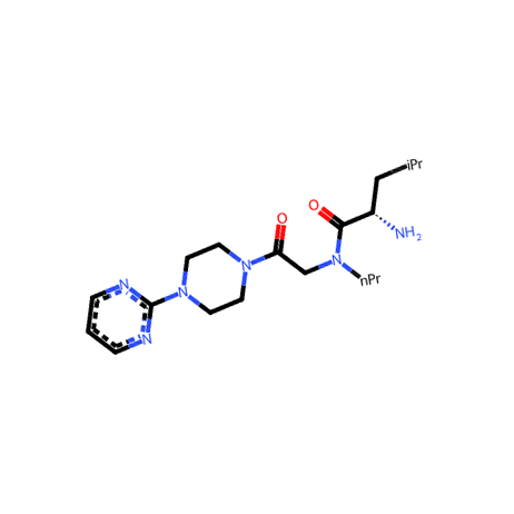 CCCN(CC(=O)N1CCN(c2ncccn2)CC1)C(=O)[C@@H](N)CC(C)C